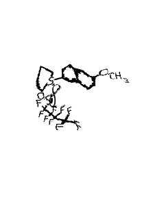 COc1ccc2cc(S3(OS(=O)(=O)C(F)(F)C(F)(F)C(F)(F)C(F)(F)F)CCCC3)ccc2c1